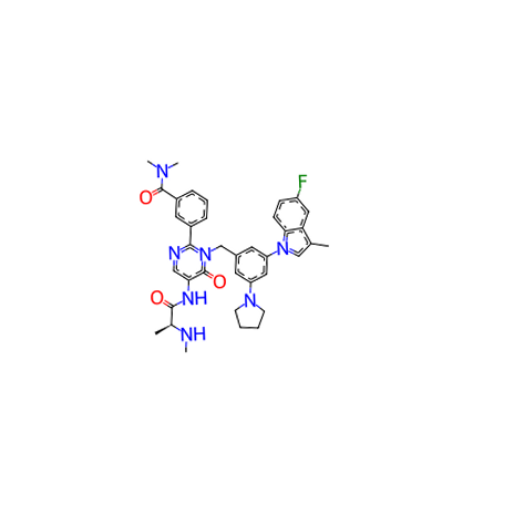 CN[C@@H](C)C(=O)Nc1cnc(-c2cccc(C(=O)N(C)C)c2)n(Cc2cc(N3CCCC3)cc(-n3cc(C)c4cc(F)ccc43)c2)c1=O